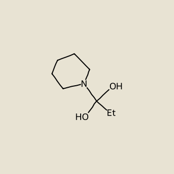 CCC(O)(O)N1CCCCC1